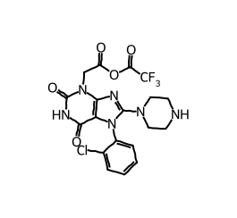 O=C(Cn1c(=O)[nH]c(=O)c2c1nc(N1CCNCC1)n2-c1ccccc1Cl)OC(=O)C(F)(F)F